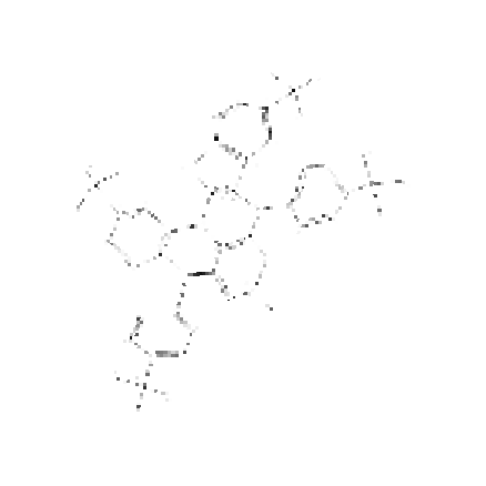 C[C@H]1C=C2C3=C(C1)N(c1ccc(C(C)(C)C)cc1)c1c(sc4ccc(C(C)(C)C)cc14)B3c1cc(C(C)(C)C)ccc1N2c1ccc(C(C)(C)C)cc1